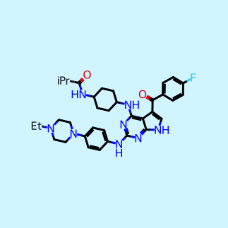 CCN1CCN(c2ccc(Nc3nc(NC4CCC(NC(=O)C(C)C)CC4)c4c(C(=O)c5ccc(F)cc5)c[nH]c4n3)cc2)CC1